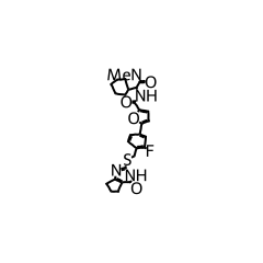 CNC(=O)C(NC(=O)c1ccc(-c2ccc(CSc3nc4c(c(=O)[nH]3)CCC4)c(F)c2)o1)C1CCCCC1